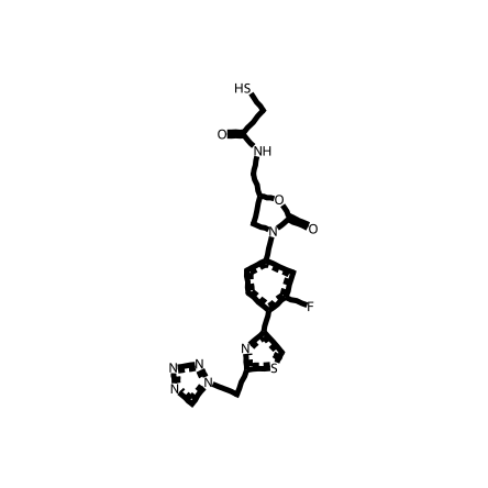 O=C(CS)NCC1CN(c2ccc(-c3csc(Cn4cnnn4)n3)c(F)c2)C(=O)O1